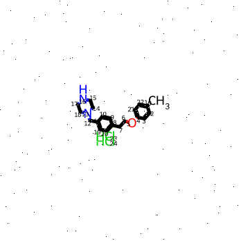 Cc1ccc(OCCc2ccc(CN3CCNCC3)cc2)cc1.Cl.Cl